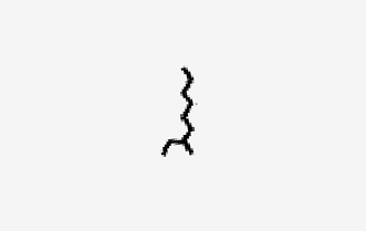 CCC[CH]CCC(C)CC